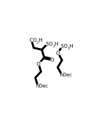 CCCCCCCCCCCCOC(=O)C(CC(=O)O)S(=O)(=O)O.CCCCCCCCCCCCOS(=O)(=O)O